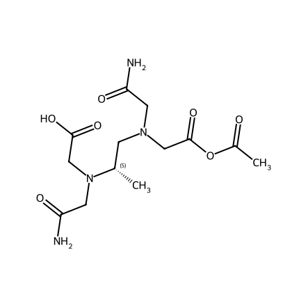 CC(=O)OC(=O)CN(CC(N)=O)C[C@H](C)N(CC(N)=O)CC(=O)O